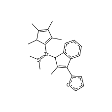 CC1=C(C)C(C)[C]([Zr]([CH]2C(C)=C(c3ccco3)c3ccccc32)=[Si](C)C)=C1C